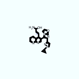 NC(O)/C=C/c1c(-c2c(-c3ccn(C4CC4)n3)nc3occn23)cnc2ncccc12